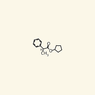 C[C@H](C(=O)OC1CCCC1)c1ccccc1